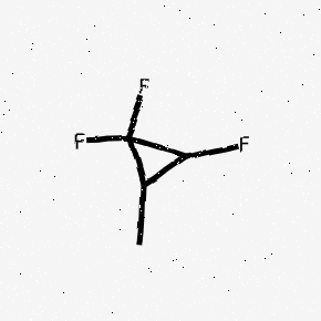 CC1C(F)C1(F)F